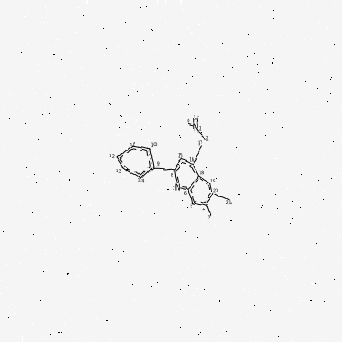 CNC.Cc1cc2nc(-c3ccccc3)cc(C)c2cc1C